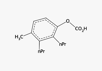 CCCc1c(C)ccc(OC(=O)O)c1CCC